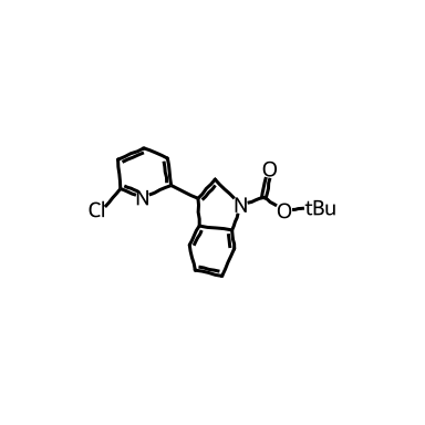 CC(C)(C)OC(=O)n1cc(-c2cccc(Cl)n2)c2ccccc21